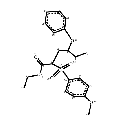 CCOC(=O)C(CC(CC)Oc1ccccc1)S(=O)(=O)c1ccc(OC)cc1